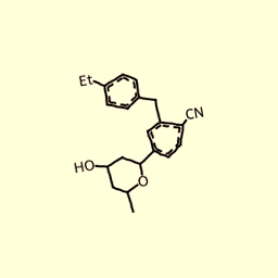 CCc1ccc(Cc2cc(C3CC(O)CC(C)O3)ccc2C#N)cc1